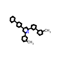 Cc1cccc(-c2cccc(-c3cc(-c4ccc(-c5ccccc5)cc4)cc(-c4cccc(C)c4)n3)c2)c1